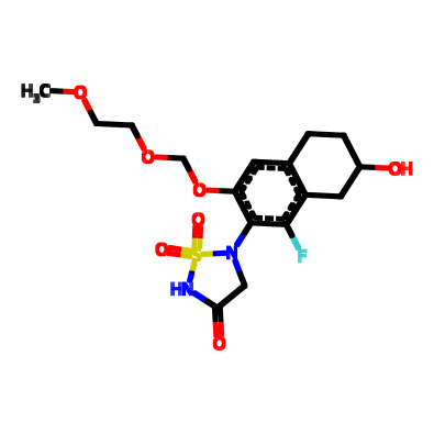 COCCOCOc1cc2c(c(F)c1N1CC(=O)NS1(=O)=O)CC(O)CC2